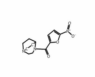 O=C(c1ccc([N+](=O)[O-])o1)N1CCN2CCC1CC2